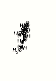 CNC(=O)CCCNC(=O)CNc1ccc2c(c1)C(=O)N(C1CCC(=O)NC1=O)C2=O.O=CO